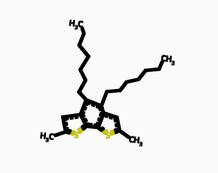 CCCCCCCc1c(CCCCCCC)c2cc(C)sc2c2sc(C)cc12